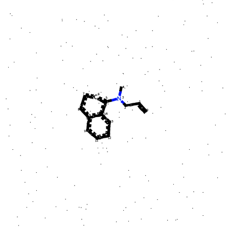 C=CCN(C)c1cccc2ccccc12